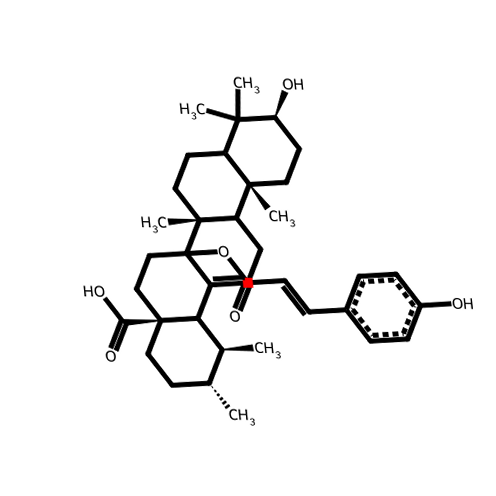 C[C@@H]1CC[C@]2(C(=O)O)CCC3(OC(=O)/C=C/c4ccc(O)cc4)C(=CCC4[C@@]5(C)CC[C@H](O)C(C)(C)C5CC[C@]43C)C2[C@H]1C